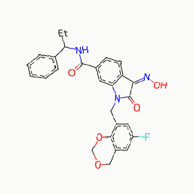 CCC(NC(=O)c1ccc2c(c1)N(Cc1cc(F)cc3c1OCOC3)C(=O)/C2=N\O)c1ccccc1